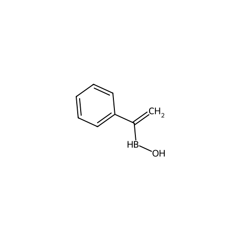 C=C(BO)c1ccccc1